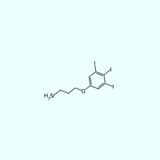 [SiH3]CCCOc1cc(I)c(I)c(I)c1